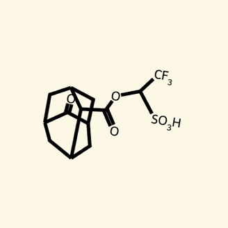 O=C1C2CC3CC1CC(C2)C3C(=O)OC(C(F)(F)F)S(=O)(=O)O